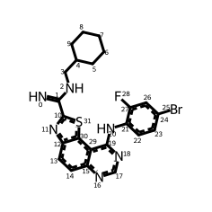 N=C(NCC1CCCCC1)c1nc2ccc3ncnc(Nc4ccc(Br)cc4F)c3c2s1